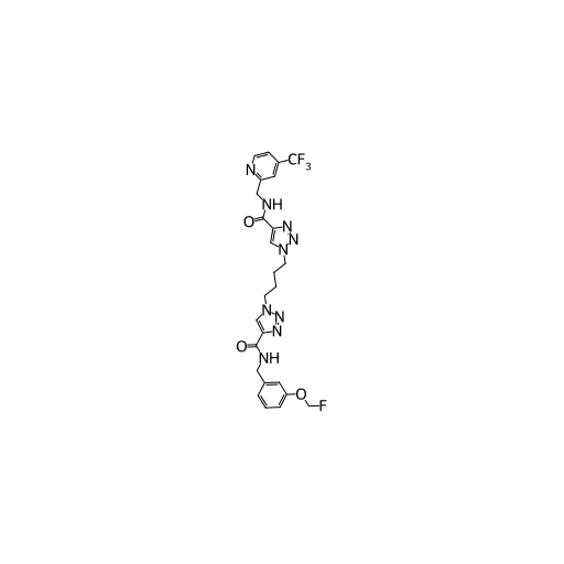 O=C(NCc1cccc(OCF)c1)c1cn(CCCCn2cc(C(=O)NCc3cc(C(F)(F)F)ccn3)nn2)nn1